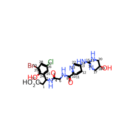 O=C(O)CC(NC(=O)CNC(=O)c1ccc(NC2=NCC(O)CN2)cn1)c1cc(Cl)cc(Br)c1O